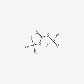 CCC(F)(F)OC(=O)OC(F)(F)CC